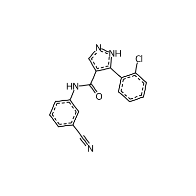 N#Cc1cccc(NC(=O)c2cn[nH]c2-c2ccccc2Cl)c1